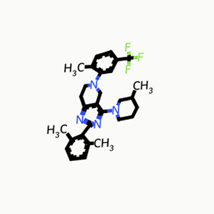 Cc1ccc(C(F)(F)F)cc1N1CCc2nc(-c3c(C)cccc3C)nc(N3CCCC(C)C3)c2C1